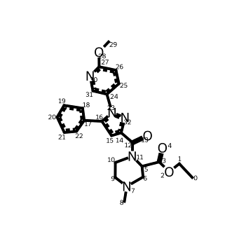 CCOC(=O)C1CN(C)CCN1C(=O)c1cc(-c2ccccc2)n(-c2ccc(OC)nc2)n1